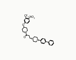 O=C(CCN1CCN(c2ccc(-c3ccccc3)cc2)CC1)N1CCC(Oc2ccc([N+](=O)[O-])c(C(F)(F)F)c2)CC1